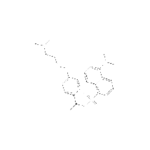 CC(OS(=O)(=O)c1cccc2c(N(C)C)cccc12)c1ccc(SSCCN(C)C)cc1